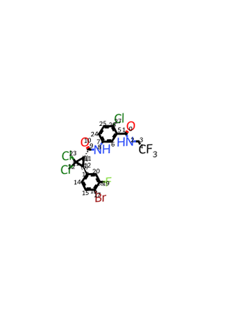 O=C(NCC(F)(F)F)c1cc(NC(=O)[C@@H]2[C@@H](c3ccc(Br)c(F)c3)C2(Cl)Cl)ccc1Cl